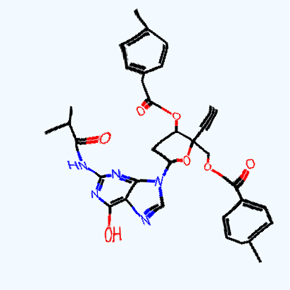 C#CC1(COC(=O)c2ccc(C)cc2)OC(n2cnc3c(O)nc(NC(=O)C(C)C)nc32)CC1OC(=O)c1ccc(C)cc1